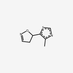 Cc1ncsc1C1C[C]=NO1